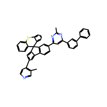 Cc1nc(-c2cccc(-c3ccccc3)c2)cc(-c2ccc3c(c2)C2(c4ccccc4Sc4ccccc42)c2ccc(-c4ccncc4C)cc2-3)n1